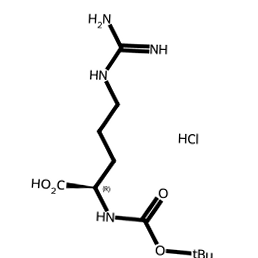 CC(C)(C)OC(=O)N[C@H](CCCNC(=N)N)C(=O)O.Cl